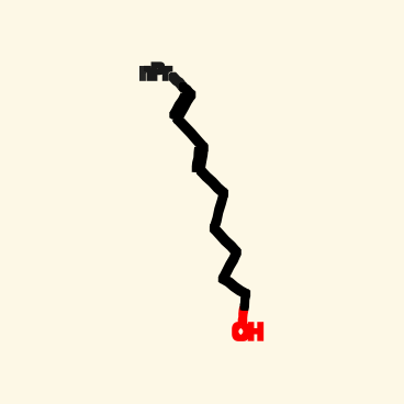 CCC/C=C/C=C/CCCCCO